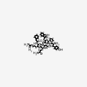 C[C@@H](O)[C@H](NC(=O)[C@H](Cc1c[nH]c2ccccc12)NC(=O)[C@@H]1CCCN1C(=O)[C@@H](N)Cc1ccc(O)cc1)C(=O)N[C@@H](CCC(N)=O)C(=O)N[C@@H](CCCN=C(N)N)C(=O)N[C@@H](Cc1ccccc1)C(=O)O